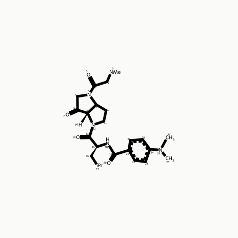 CNCC(=O)N1CC(=O)[C@@H]2C1CCN2C(=O)[C@H](CC(C)C)NC(=O)c1ccc(N(C)C)cc1